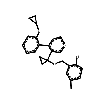 Cc1ccc(Cl)c(COC2(c3cnccc3-c3ccccc3OC3CC3)CC2)c1